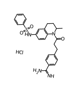 CC1CCc2cc(NS(=O)(=O)c3ccccc3)ccc2N1C(=O)CCc1ccc(C(=N)N)cc1.Cl